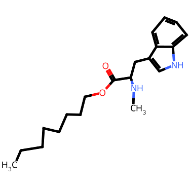 CCCCCCCCOC(=O)C(Cc1c[nH]c2ccccc12)NC